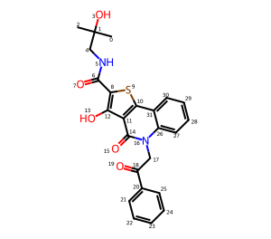 CC(C)(O)CNC(=O)c1sc2c(c1O)c(=O)n(CC(=O)c1ccccc1)c1ccccc21